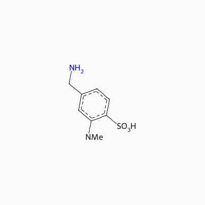 CNc1cc(CN)ccc1S(=O)(=O)O